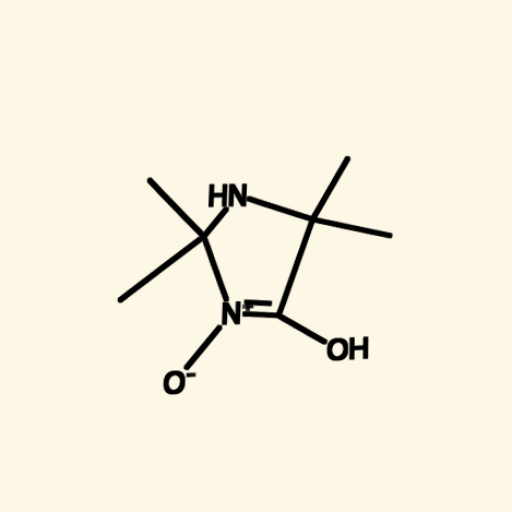 CC1(C)NC(C)(C)[N+]([O-])=C1O